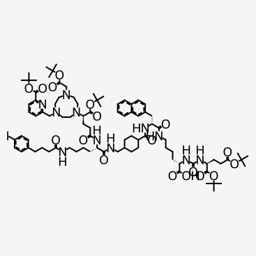 CC(C)(C)OC(=O)CC[C@H](NC(=O)N[C@@H](CCCCNC(=O)[C@@H](Cc1ccc2ccccc2c1)NC(=O)C1CCC(CNC(=O)[C@H](CCCCNC(=O)CCCc2ccc(I)cc2)NC(=O)CC[C@H](C(=O)OC(C)(C)C)N2CCN(CC(=O)OC(C)(C)C)CCN(Cc3cccc(C(=O)OC(C)(C)C)n3)CC2)CC1)C(=O)O)C(=O)OC(C)(C)C